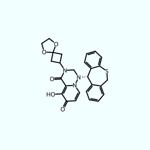 O=C1c2c(O)c(=O)ccn2N([C@H]2c3ccccc3CSc3ccccc32)CN1C1CC2(C1)OCCO2